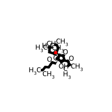 CC(C)CCC(=O)C[C@@]1(OC(=O)CC(C)(C)C)C(O)=C(C(=O)C(C)C)C(=O)[C@@H]1CCC(C)C